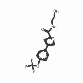 O=C(NCCO)c1cc(-c2ccc(OC(F)(F)F)cc2)cs1